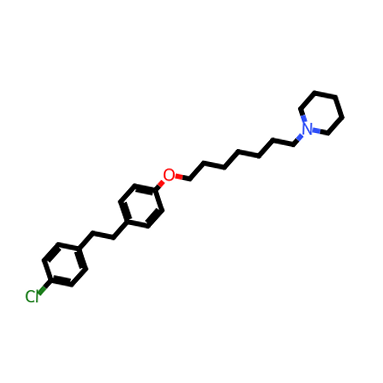 Clc1ccc(CCc2ccc(OCCCCCCCN3CCCCC3)cc2)cc1